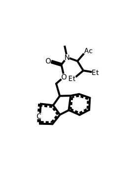 CCC(CC)C(C(C)=O)N(C)C(=O)OCC1c2ccccc2-c2ccccc21